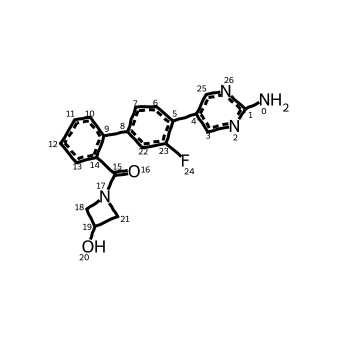 Nc1ncc(-c2ccc(-c3ccccc3C(=O)N3CC(O)C3)cc2F)cn1